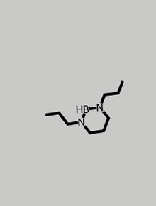 CCCN1BN(CCC)CCC1